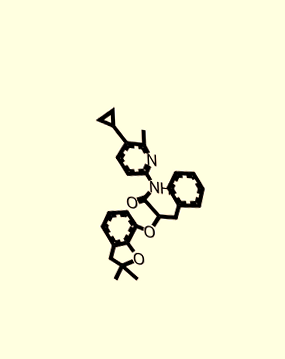 Cc1nc(NC(=O)C(Cc2ccccc2)Oc2cccc3c2OC(C)(C)C3)ccc1C1CC1